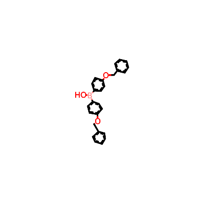 OB(c1ccc(OCc2ccccc2)cc1)c1ccc(OCc2ccccc2)cc1